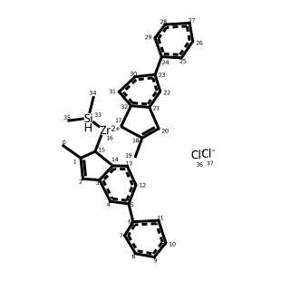 CC1=Cc2cc(-c3ccccc3)ccc2[CH]1[Zr+2]([CH]1C(C)=Cc2cc(-c3ccccc3)ccc21)[SiH](C)C.[Cl-].[Cl-]